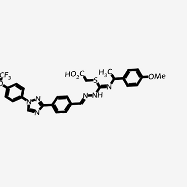 COc1ccc(C(C)/N=C(/N/N=C/c2ccc(-c3ncn(-c4ccc(OC(F)(F)F)cc4)n3)cc2)SCC(=O)O)cc1